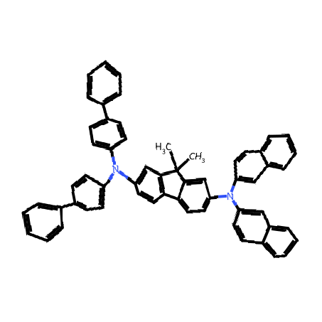 CC1(C)c2cc(N(c3ccc(-c4ccccc4)cc3)c3ccc(-c4ccccc4)cc3)ccc2-c2ccc(N(c3ccc4ccccc4c3)c3ccc4ccccc4c3)cc21